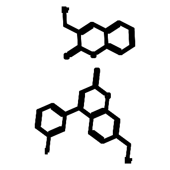 O=c1cc(-c2cccc(F)c2)c2ccc(CBr)cc2o1.O=c1oc2ccccc2cc1CBr